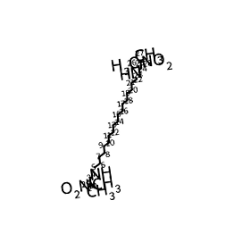 CC(C)(CNCCCCCCCCCCCCCCCCCCNCC(C)(C)[N+](=O)[O-])[N+](=O)[O-]